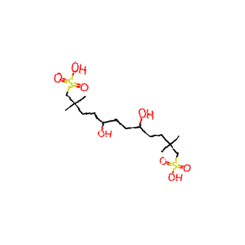 CC(C)(CCC(O)CCC(O)CCC(C)(C)CS(=O)(=O)O)CS(=O)(=O)O